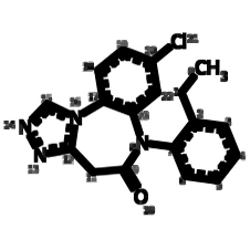 CCc1ccccc1N1C(=O)Cc2nncn2-c2ccc(Cl)cc21